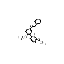 COC1=NC=[C]C(c2cc(OCc3ccccc3)ccc2OC)N1